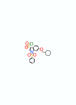 O=S(=O)(Cl)c1cn(S(=O)(=O)c2ccccc2)c2cc(OCC3CCCCC3)ccc12